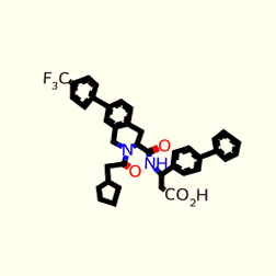 O=C(O)CC(NC(=O)C1Cc2ccc(-c3ccc(C(F)(F)F)cc3)cc2CN1C(=O)CC1CCCC1)c1ccc(-c2ccccc2)cc1